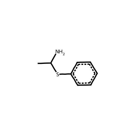 CC(N)Sc1ccccc1